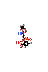 CC1=CC=C(C(=O)O)C(OCCCNC(=O)OC(C)(C)C)C1=S(=O)=O